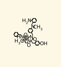 CN(Cc1ccccc1N)c1cccc(CN2C[C@H]3N(C(=O)CN(C)N3C(=O)NCc3ccccc3)C(Cc3ccc(O)cc3)C2=O)c1